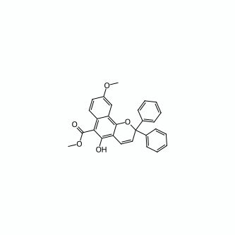 COC(=O)c1c(O)c2c(c3cc(OC)ccc13)OC(c1ccccc1)(c1ccccc1)C=C2